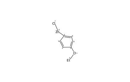 CCOc1cc[c]([Zn][Cl])cc1